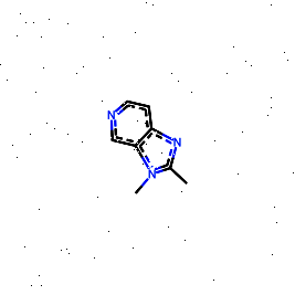 Cc1nc2ccncc2n1C